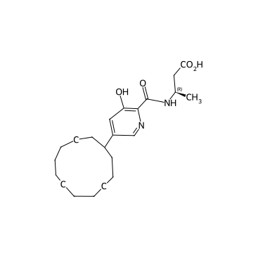 C[C@H](CC(=O)O)NC(=O)c1ncc(C2CCCCCCCCCCC2)cc1O